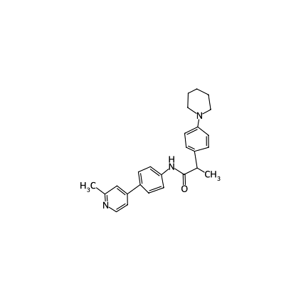 Cc1cc(-c2ccc(NC(=O)C(C)c3ccc(N4CCCCC4)cc3)cc2)ccn1